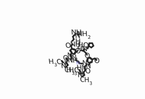 CCn1nc(C)cc1C(=O)Nc1nc2cc(C=O)cc3c2n1C/C=C/Cn1c(NC(=O)c2cc(C)nn2CC)nc2cc(C(=O)NCCCC(=N)NN)cc(c21)OCC(NCC1(O)CCCC1)CO3